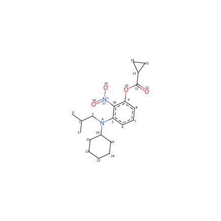 CC(C)CN(c1cccc(OC(=O)C2CC2)c1[N+](=O)[O-])C1CCCCC1